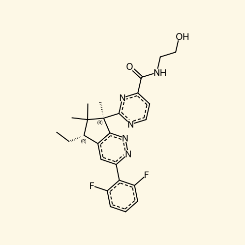 CC[C@H]1c2cc(-c3c(F)cccc3F)nnc2[C@](C)(c2nccc(C(=O)NCCO)n2)C1(C)C